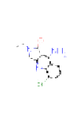 CCN1Cc2nc3c(Br)cccc3c(N)c2C1=O